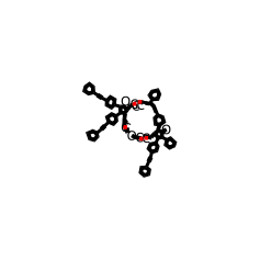 O=c1c(-c2ccccc2)c(-c2ccc(C#Cc3ccccc3)cc2)c2c3ccc(cc3)oc3ccc(cc3)c3c(-c4ccc(C#Cc5ccccc5)cc4)c(-c4ccc(C#Cc5ccccc5)cc4)c(=O)c3c3ccc(cc3)c(-c3ccccc3)cc3ccc(cc3)c12